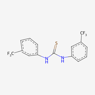 FC(F)(F)c1cccc(NC(=S)Nc2cccc(C(F)(F)F)c2)c1